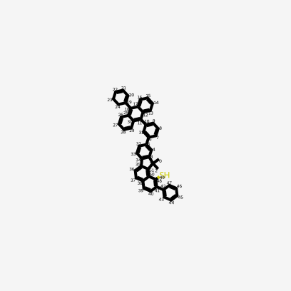 CC1(C)c2cc(-c3cccc(-c4c5ccccc5c(C5=CC=CCC5)c5ccccc45)c3)ccc2-c2ccc3ccc(-c4ccccc4)c(S)c3c21